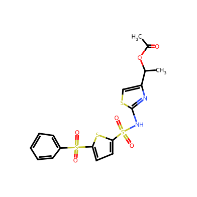 CC(=O)OC(C)c1csc(NS(=O)(=O)c2ccc(S(=O)(=O)c3ccccc3)s2)n1